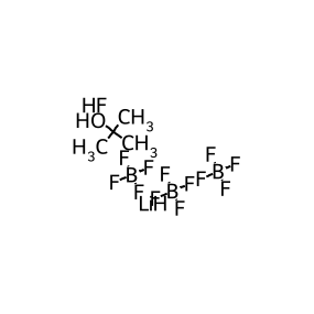 CC(C)(C)O.F.F[B-](F)(F)F.F[B-](F)(F)F.F[B-](F)(F)F.[LiH]